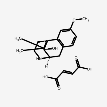 COc1ccc2c(c1)[C@]13CCN[C@H](C2)[C@]1(O)CC(C)(C)OC3.O=C(O)/C=C/C(=O)O